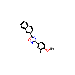 Cc1cc(-c2noc(-c3ccc4ccccc4c3)n2)ccc1OC(C)C